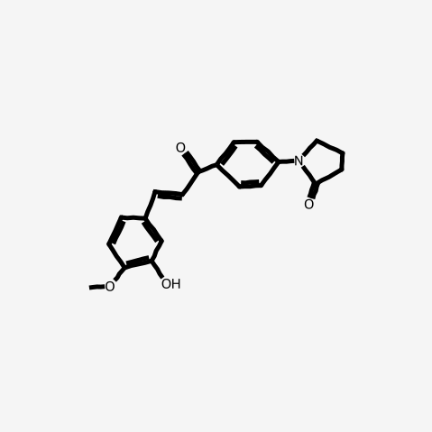 COc1ccc(C=CC(=O)c2ccc(N3CCCC3=O)cc2)cc1O